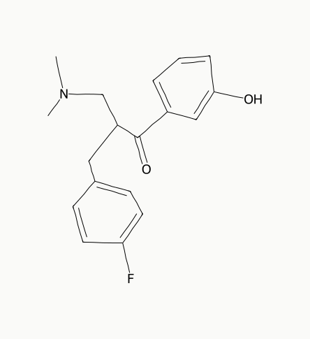 CN(C)CC(Cc1ccc(F)cc1)C(=O)c1cccc(O)c1